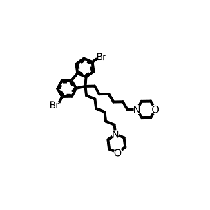 Brc1ccc2c(c1)C(CCCCCCN1CCOCC1)(CCCCCCN1CCOCC1)c1cc(Br)ccc1-2